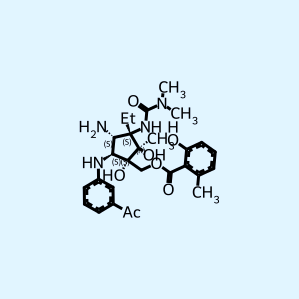 CC[C@]1(NC(=O)N(C)C)[C@@H](N)[C@H](Nc2cccc(C(C)=O)c2)[C@](O)(COC(=O)c2c(C)cccc2O)[C@]1(C)O